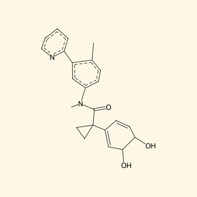 Cc1ccc(N(C)C(=O)C2(C3=CC(O)C(O)C=C3)CC2)cc1-c1ccccn1